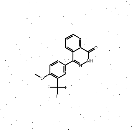 COc1ccc(-c2n[nH]c(=O)c3ccccc23)cc1C(F)(F)F